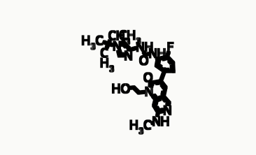 CNc1cc2c(cn1)cc(-c1ccc(F)c(NC(=O)Nc3ncn(C(C)(C)C)c3C)c1)c(=O)n2CCO